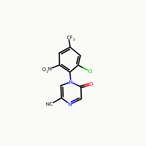 N#Cc1cn(-c2c(Cl)cc(C(F)(F)F)cc2[N+](=O)[O-])c(=O)cn1